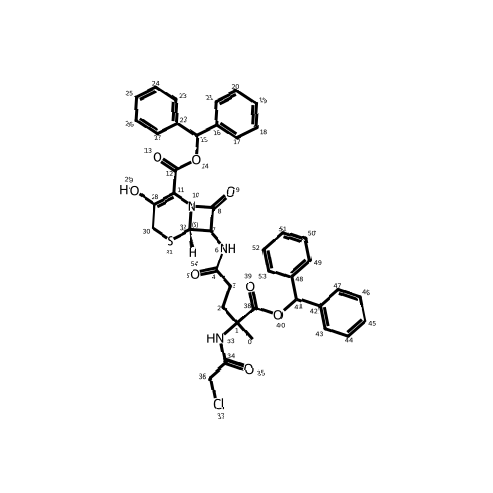 CC(CCC(=O)NC1C(=O)N2C(C(=O)OC(c3ccccc3)c3ccccc3)=C(O)CS[C@@H]12)(NC(=O)CCl)C(=O)OC(c1ccccc1)c1ccccc1